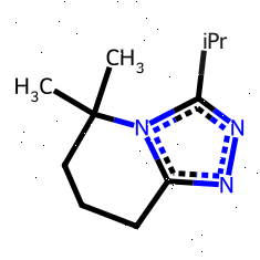 CC(C)c1nnc2n1C(C)(C)CCC2